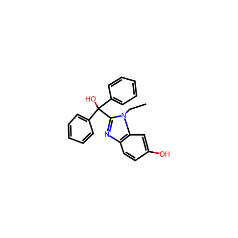 CCn1c(C(O)(c2ccccc2)c2ccccc2)nc2ccc(O)cc21